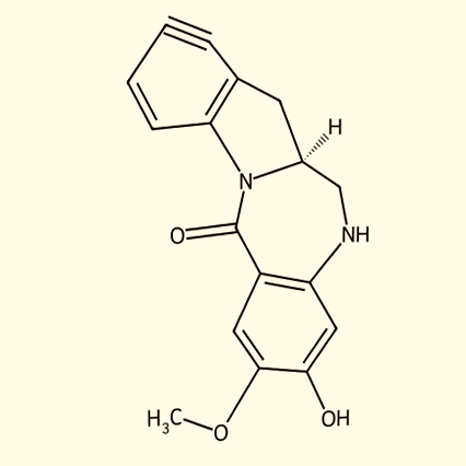 COc1cc2c(cc1O)NC[C@@H]1Cc3c#cccc3N1C2=O